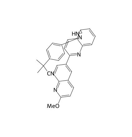 COc1ccc2cc(C3=NC4=CC=CC5CNN(c6ccc(C(C)(C)C#N)cc6)C45C=C3)ccc2n1